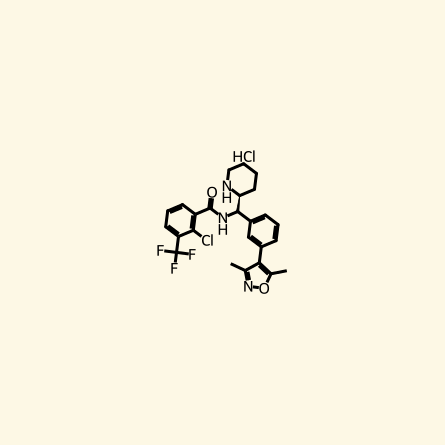 Cc1noc(C)c1-c1cccc(C(NC(=O)c2cccc(C(F)(F)F)c2Cl)[C@@H]2CCCCN2)c1.Cl